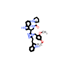 COc1ccc(Cn2c(CCc3c[nH]c4ccccc34)nnc2C(CNC(=O)[C@H]2CCCCN2)c2c[nH]c3ccccc23)c(OC)c1